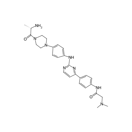 C[C@H](N)C(=O)N1CCN(c2ccc(Nc3nccc(-c4ccc(NC(=O)CN(C)C)cc4)n3)cc2)CC1